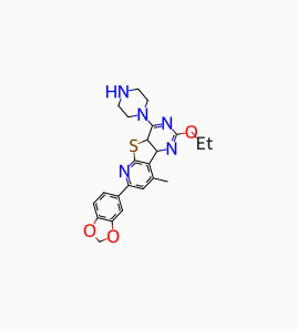 CCOC1=NC2c3c(C)cc(-c4ccc5c(c4)OCO5)nc3SC2C(N2CCNCC2)=N1